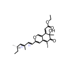 CCOC(=O)C=C1C2=COC(/C=C/C(C)=C/[C@@H](C)CC)=CC2=C(I)C(=O)C1(C)O